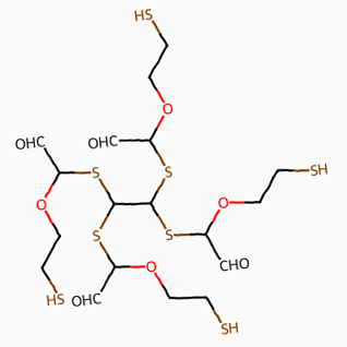 O=CC(OCCS)SC(SC(C=O)OCCS)C(SC(C=O)OCCS)SC(C=O)OCCS